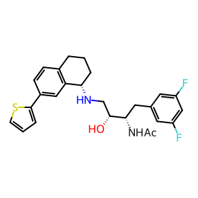 CC(=O)N[C@@H](Cc1cc(F)cc(F)c1)[C@H](O)CN[C@H]1CCCc2ccc(-c3cccs3)cc21